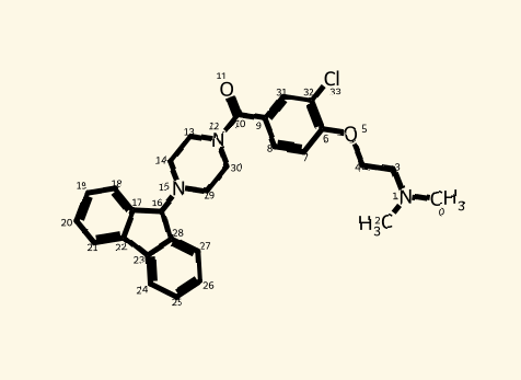 CN(C)CCOc1ccc(C(=O)N2CCN(C3c4ccccc4-c4ccccc43)CC2)cc1Cl